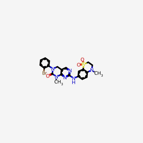 CN1CCS(=O)(=O)c2cc(Nc3ncc4c(n3)N(C)C(=O)N(c3ccccc3Br)C4)ccc21